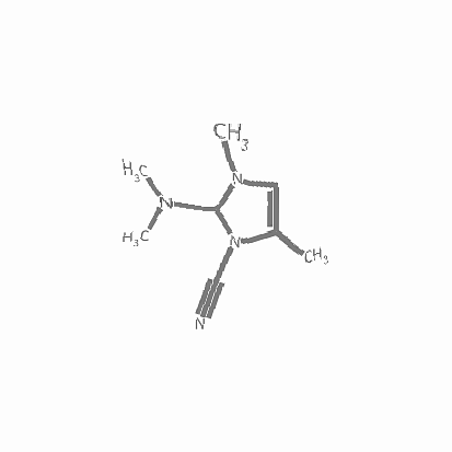 CC1=CN(C)C(N(C)C)N1C#N